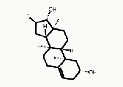 C[C@]12CC[C@H]3[C@@H](CCC4=CC[C@@H](O)C[C@@]43C)[C@@H]1C[C@@H](F)[C@@H]2O